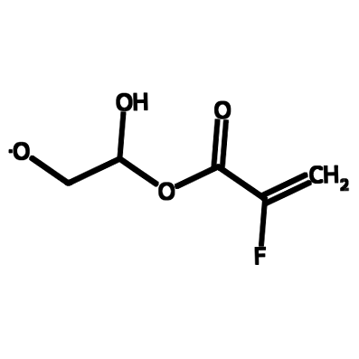 C=C(F)C(=O)OC(O)C[O]